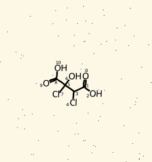 O=C(O)C(Cl)C(O)(Cl)C(=O)O